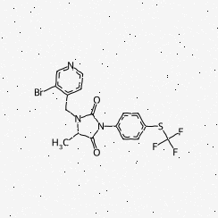 CC1C(=O)N(c2ccc(SC(F)(F)F)cc2)C(=O)N1Cc1ccncc1Br